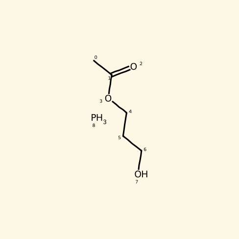 CC(=O)OCCCO.P